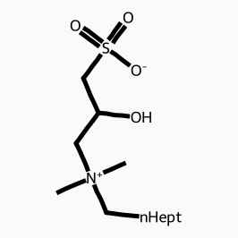 CCCCCCCC[N+](C)(C)CC(O)CS(=O)(=O)[O-]